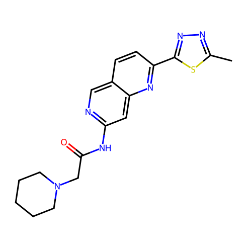 Cc1nnc(-c2ccc3cnc(NC(=O)CN4CCCCC4)cc3n2)s1